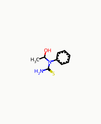 CC(O)N(C(N)=S)c1ccccc1